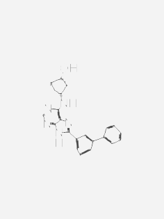 C[C@H]1C[C@@H](Nc2ncnc3[nH]c(-c4cccc(-c5ccccc5)c4)nc23)C[C@H]1O